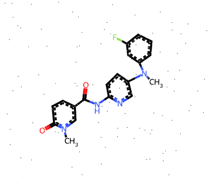 CN(c1ccc(NC(=O)c2ccc(=O)n(C)c2)nc1)c1cccc(F)c1